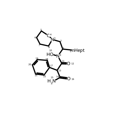 CCCCCCCC(CN1CCCCC1)N(O)C(=O)C(C(N)=O)c1ccccc1